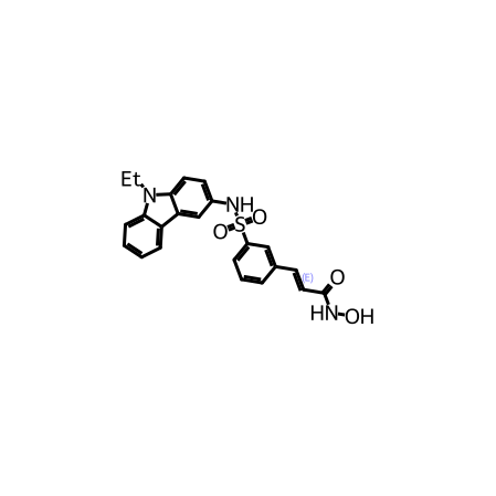 CCn1c2ccccc2c2cc(NS(=O)(=O)c3cccc(/C=C/C(=O)NO)c3)ccc21